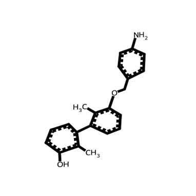 Cc1c(O)cccc1-c1cccc(OCc2ccc(N)cc2)c1C